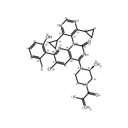 C=C(F)C(=O)N1CCN(c2nc(=O)n(-c3c(C4CC4)ncnc3C3CC3)c3nc(-c4c(O)cccc4F)c(Cl)cc23)[C@@H](C)C1